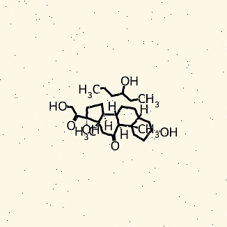 CCCC(O)CC.C[C@]12CC[C@@H](O)C[C@H]1CC[C@@H]1[C@@H]2C(=O)C[C@@]2(C)[C@H]1CC[C@]2(O)C(=O)CO